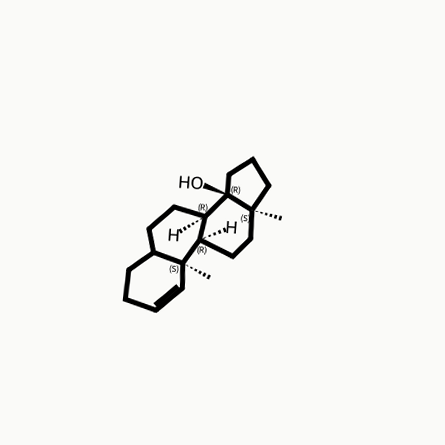 C[C@@]12CCC[C@@]1(O)[C@@H]1CCC3CCC=C[C@]3(C)[C@@H]1CC2